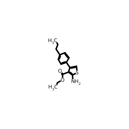 CCCc1ccc(-c2csc(N)c2C(=O)OCC)cc1